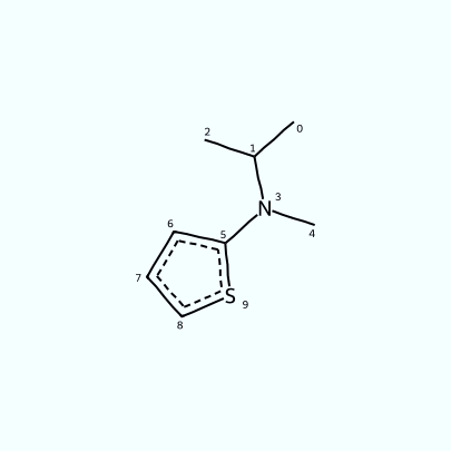 CC(C)N(C)c1cccs1